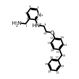 NCc1cccnc1NCCOc1ccc(Cc2ccccc2)cc1